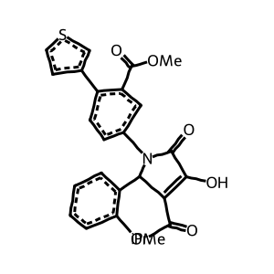 COC(=O)c1cc(N2C(=O)C(O)=C(C(=O)C(C)C)C2c2ccccc2OC)ccc1-c1ccsc1